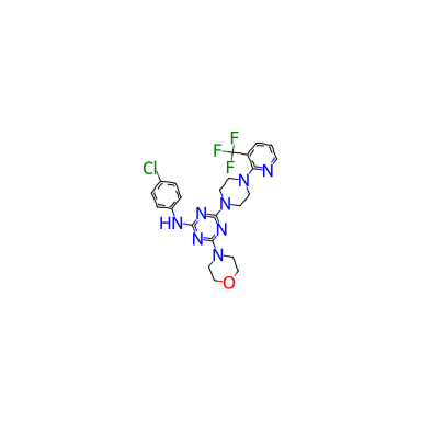 FC(F)(F)c1cccnc1N1CCN(c2nc(Nc3ccc(Cl)cc3)nc(N3CCOCC3)n2)CC1